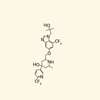 CC1CC(O)(c2ccc(C(F)(F)F)nc2)CC(COc2cc(C(F)(F)F)c3c(c2)ncn3CC(C)(C)O)N1